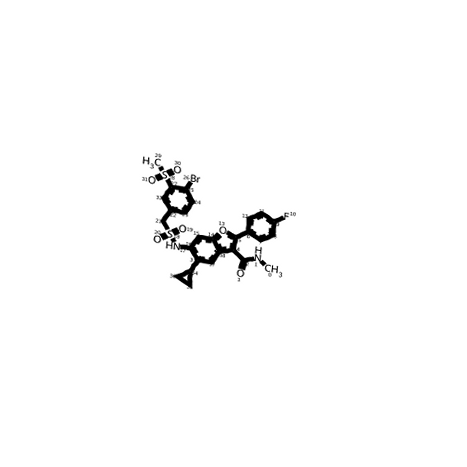 CNC(=O)c1c(-c2ccc(F)cc2)oc2cc(NS(=O)(=O)Cc3ccc(Br)c(S(C)(=O)=O)c3)c(C3CC3)cc12